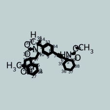 COC(=O)NC1(C#Cc2ccc([C@](C)(I)N3CCC(CC(C)(C)O)(c4ccccc4)OC3=O)cc2)CCCCC1